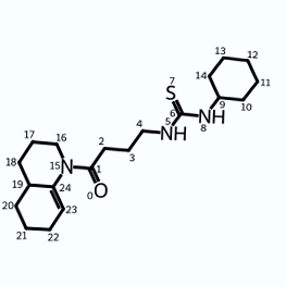 O=C(CCCNC(=S)NC1CCCCC1)N1CCCC2CCCC=C21